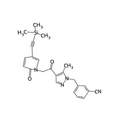 Cc1c(C(=O)Cn2cc(C#C[Si](C)(C)C)ccc2=O)cnn1Cc1cccc(C#N)c1